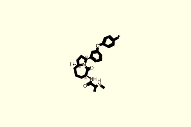 CNC(C)C(=O)N[C@H]1CCC[C@H]2CC[C@@H](c3cccc(Oc4ccc(F)cc4)c3)N2C1=O